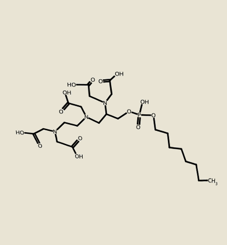 CCCCCCCCOP(=O)(O)OCC(CN(CCN(CC(=O)O)CC(=O)O)CC(=O)O)N(CC(=O)O)CC(=O)O